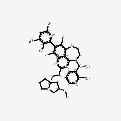 CCO[C@H]1CN2CCC[C@@]2(COc2nc3c4c(c(Cl)c(-c5nc(N)cc(C)c5C(F)(F)F)c(F)c4n2)OCCN3[C@H](C)c2cccnc2N)C1